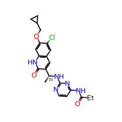 CCC(=O)Nc1ccnc(N[C@@H](C)c2cc3cc(Cl)c(OCC4CC4)cc3[nH]c2=O)n1